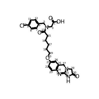 O=C(O)CN(Cc1ccc(Cl)cc1)C(=O)CCCCCOc1ccc2c(c1)CN1CC(=O)NC1=N2